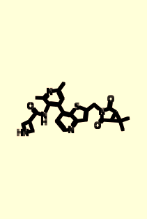 Cc1cc(-c2ccnc3cc(CN4C(=O)C5C(C4=O)C5(C)C)sc23)c(NC(=O)C2CNC2)c(C)n1